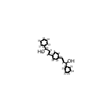 OC(C=Cc1ccc(C=CC(O)c2ccccc2)cc1)c1ccccc1